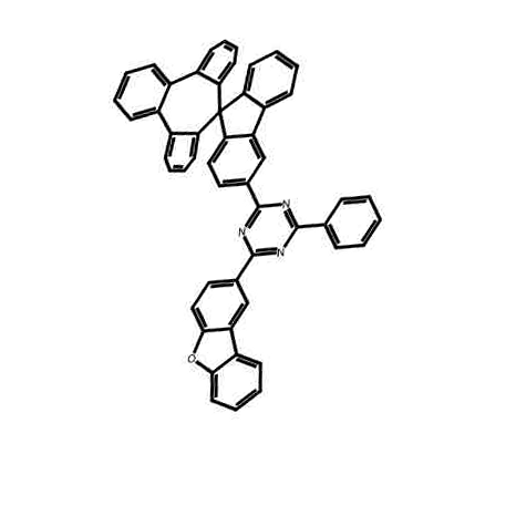 c1ccc(-c2nc(-c3ccc4c(c3)-c3ccccc3C43c4ccccc4-c4ccccc4-c4ccccc43)nc(-c3ccc4oc5ccccc5c4c3)n2)cc1